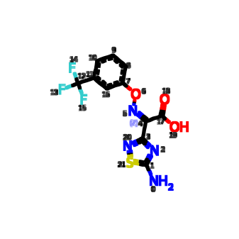 Nc1nc(/C(=N/Oc2cccc(C(F)(F)F)c2)C(=O)O)ns1